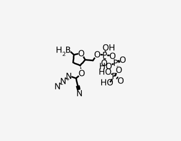 BC1C[C@@H](OC(C#N)N=[N+]=[N-])C(COP(=O)(O)OP(=O)(O)OP(=O)(O)O)O1